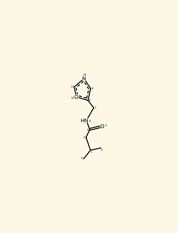 CC(C)CC(=O)NCc1cnco1